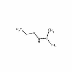 CCOBB(C)C